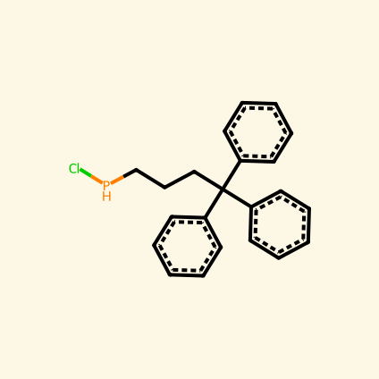 ClPCCCC(c1ccccc1)(c1ccccc1)c1ccccc1